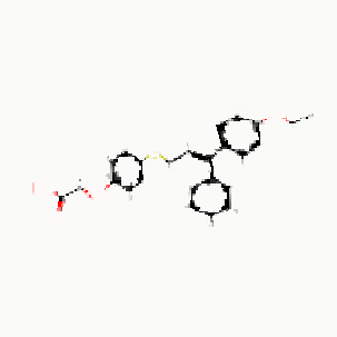 CCOc1ccc(C(=CCSc2ccc(OCC(=O)O)cc2)c2ccccc2)cc1